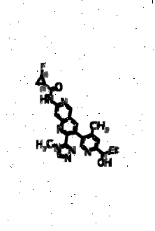 CC[C@@H](O)c1cc(C)c(-c2cc3cnc(NC(=O)[C@H]4C[C@H]4F)cc3nc2-c2nncn2C)cn1